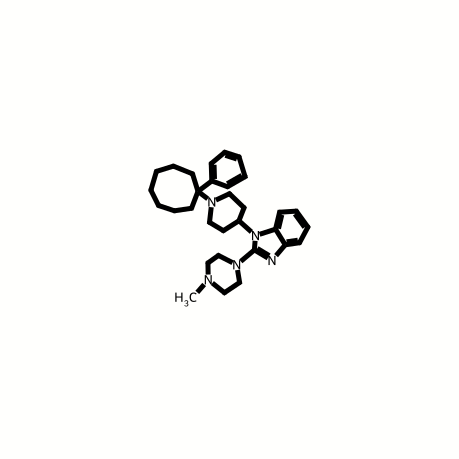 CN1CCN(c2nc3ccccc3n2C2CCN(C3(c4ccccc4)CCCCCCC3)CC2)CC1